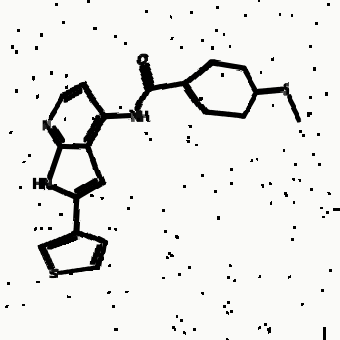 CSC1CCC(C(=O)Nc2ccnc3[nH]c(-c4ccsc4)cc23)CC1